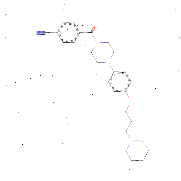 N#Cc1ccc(C(=O)N2CCN(c3ccc(OCCCN4CCCCC4)cc3)CC2)cc1